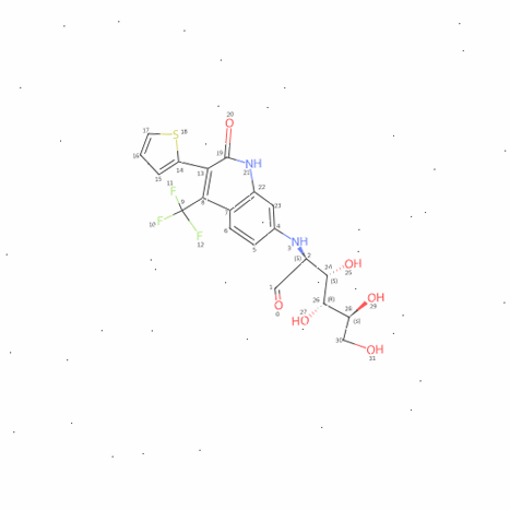 O=C[C@@H](Nc1ccc2c(C(F)(F)F)c(-c3cccs3)c(=O)[nH]c2c1)[C@H](O)[C@@H](O)[C@@H](O)CO